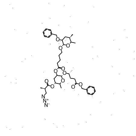 CC1O[C@@H](OCCCCC(=O)OC2C[C@@H](OC(=O)[C@H](C)CN=[N+]=[N-])C(C)O[C@H]2O[C@H](C)CCC(=O)OCc2ccccc2)C(OCc2ccccc2)C[C@H]1C